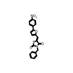 O=C1/C(=C/c2ccc(-c3ccc([N+](=O)[O-])cc3)o2)SC(=S)N1Cc1ccccc1